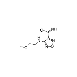 COCCNc1nonc1C(=N)Cl